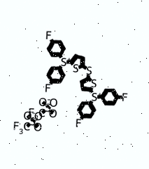 Fc1ccc([S+](c2ccc(F)cc2)c2ccc(Sc3ccc([S+](c4ccc(F)cc4)c4ccc(F)cc4)s3)s2)cc1.O=S(=O)([O-])C(F)(F)F.O=S(=O)([O-])C(F)(F)F